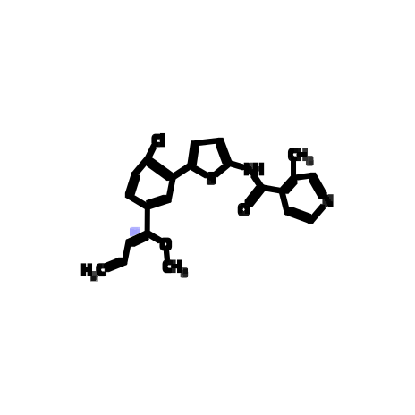 C=C/C=C(\OC)c1ccc(Cl)c(-c2ccc(NC(=O)c3ccncc3C)s2)c1